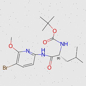 COc1nc(NC(=O)[C@@H](CC(C)C)NC(=O)OC(C)(C)C)ccc1Br